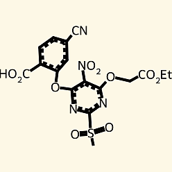 CCOC(=O)COc1nc(S(C)(=O)=O)nc(Oc2cc(C#N)ccc2C(=O)O)c1[N+](=O)[O-]